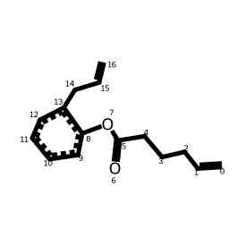 C=CCCCC(=O)Oc1ccccc1CC=C